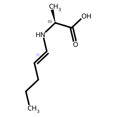 CCC/C=C/N[C@@H](C)C(=O)O